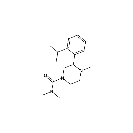 CC(C)c1ccccc1C1CN(C(=O)N(C)C)CCN1C